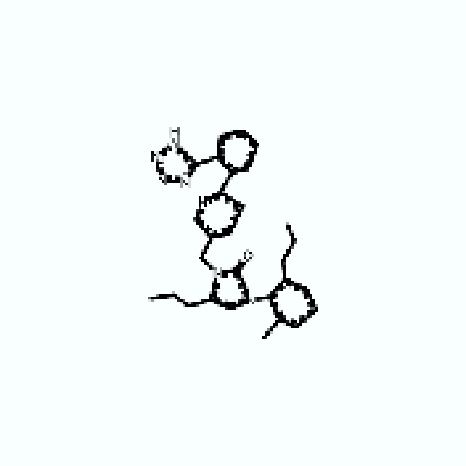 CCCc1cccc(C)c1-n1cc(CCC)n(Cc2ccc(-c3ccccc3-c3nnn[nH]3)nc2)c1=O